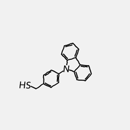 SCc1ccc(-n2c3ccccc3c3ccccc32)cc1